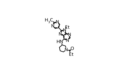 CCC(=O)N1CCCC(Nc2ncnc3c2nc(-c2cnc(C)nc2)n3CC)C1